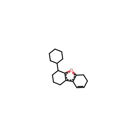 C1=Cc2c(oc3c2CCCC3C2CCCCC2)CC1